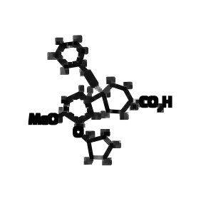 COc1ccc([C@]2(C#Cc3ccccc3)CC[C@@H](C(=O)O)CC2)cc1OC1CCCC1